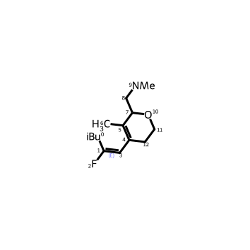 CCC(C)/C(F)=C\C1=C(C)C(CNC)OCC1